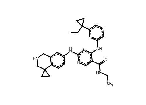 O=C(NCC(F)(F)F)c1cnc(Nc2ccc3c(c2)CNCC32CC2)nc1Nc1cccc(C2(CF)CC2)n1